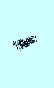 C[C@H](/C=C/[C@H](C)C(C)(C)O)[C@H]1CC[C@H]2/C(=C/[C@@H](CO)[C@@]34C[C@@H](O)C[C@@H]3C4)CCC[C@]12C